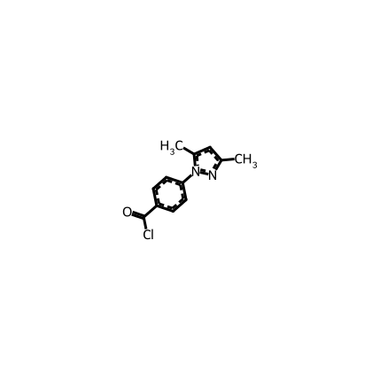 Cc1cc(C)n(-c2ccc(C(=O)Cl)cc2)n1